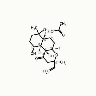 C=C[C@@]1(C)CC(=O)[C@@]2(O)[C@@H](C[C@@H](OC(C)=O)[C@H]3C(C)(C)CC[C@H](O)[C@@]32C)O1